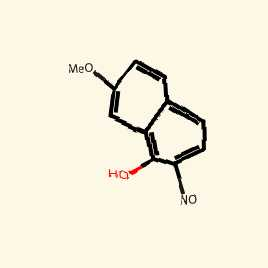 COc1ccc2ccc(N=O)c(O)c2c1